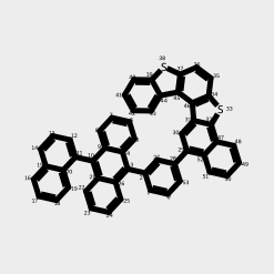 c1cc(-c2c3ccccc3c(-c3cccc4ccccc34)c3ccccc23)cc(-c2cc3c(sc4ccc5sc6ccccc6c5c43)c3ccccc23)c1